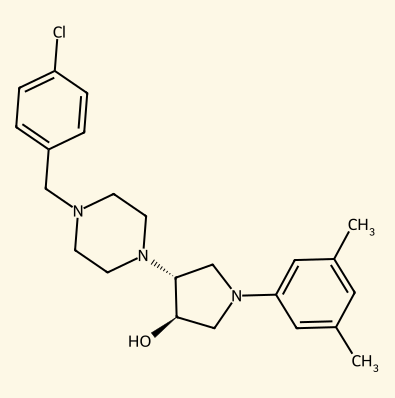 Cc1cc(C)cc(N2C[C@@H](O)[C@H](N3CCN(Cc4ccc(Cl)cc4)CC3)C2)c1